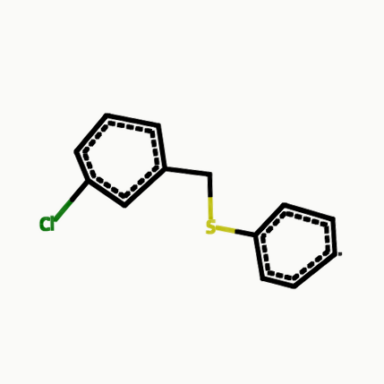 Clc1cccc(CSc2cc[c]cc2)c1